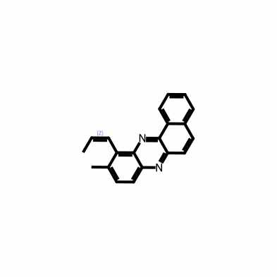 C/C=C\c1c(C)ccc2nc3ccc4ccccc4c3nc12